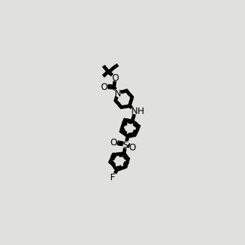 CC(C)(C)OC(=O)N1CCC(Nc2ccc(S(=O)(=O)c3ccc(F)cc3)cc2)CC1